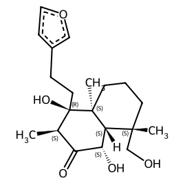 C[C@@H]1C(=O)[C@@H](O)[C@H]2[C@@](C)(CO)CCC[C@]2(C)[C@@]1(O)CCc1ccoc1